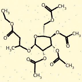 CCOC(=O)CC(C)O[C@H]1O[C@H](COC(C)=O)[C@@H](OC(C)=O)[C@H](OC(C)=O)[C@@H]1OC(C)=O